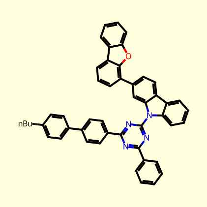 CCCCc1ccc(-c2ccc(-c3nc(-c4ccccc4)nc(-n4c5ccccc5c5ccc(-c6cccc7c6oc6ccccc67)cc54)n3)cc2)cc1